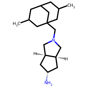 CC1CC2CC(C)CC(CN3C[C@H]4C[C@H](N)C[C@H]4C3)(C1)C2